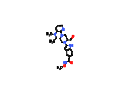 CCN(C)c1cccnc1N1CCN(c2cc3cc(C(=O)NOC)ccc3[nH]2)C(C=O)C1